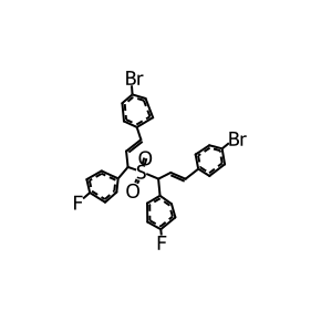 O=S(=O)(C(C=Cc1ccc(Br)cc1)c1ccc(F)cc1)C(C=Cc1ccc(Br)cc1)c1ccc(F)cc1